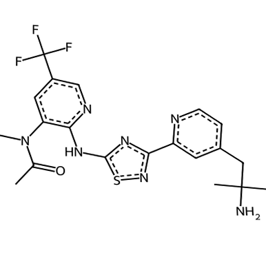 CC(=O)N(C)c1cc(C(F)(F)F)cnc1Nc1nc(-c2cc(CC(C)(C)N)ccn2)ns1